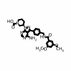 COc1cc(OC)cc(C(=O)NCc2ccc(-c3nn([C@@H]4CCCN(C(=O)O)C4)c4ncnc(N)c34)cc2)c1